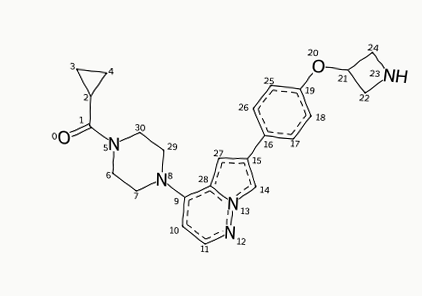 O=C(C1CC1)N1CCN(c2ccnn3cc(-c4ccc(OC5CNC5)cc4)cc23)CC1